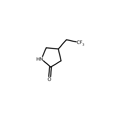 O=C1CC(CC(F)(F)F)CN1